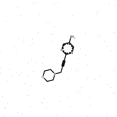 Bc1cnc(C#CCN2CCOCC2)nc1